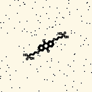 O=C1c2ccc(OCCCP(=O)(O)O)cc2C(=O)c2ccc(OCCCP(=O)(O)O)cc21